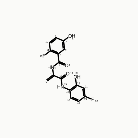 C=C(NC(=O)c1cc(O)ccc1F)C(=O)Nc1ccc(F)cc1O